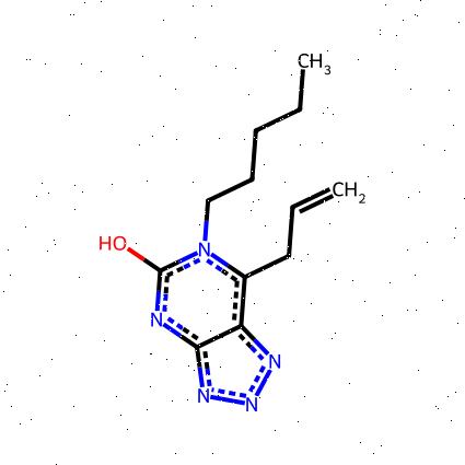 C=CCc1c2nnnc-2nc(O)n1CCCCC